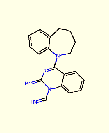 N=Cn1c(=N)nc(N2CCCCc3ccccc32)c2ccccc21